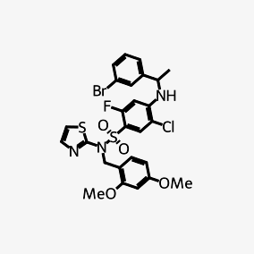 COc1ccc(CN(c2nccs2)S(=O)(=O)c2cc(Cl)c(NC(C)c3cccc(Br)c3)cc2F)c(OC)c1